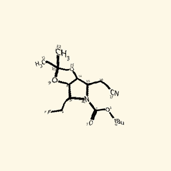 CC(C)(C)OC(=O)N1C(CF)C2OC(C)(C)OC2C1CC#N